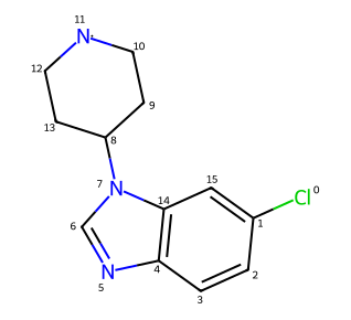 Clc1ccc2ncn(C3CC[N]CC3)c2c1